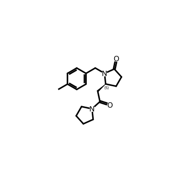 Cc1ccc(CN2C(=O)CC[C@H]2CC(=O)N2CCCC2)cc1